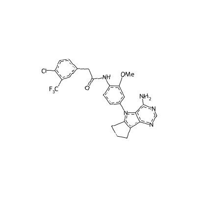 COc1cc(-n2c3c(c4ncnc(N)c42)CCC3)ccc1NC(=O)Cc1ccc(Cl)c(C(F)(F)F)c1